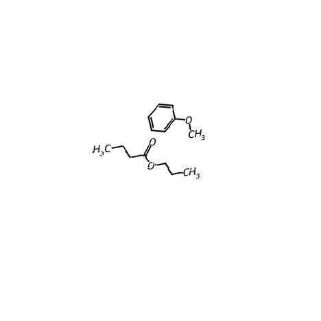 CCCOC(=O)CCC.COc1ccccc1